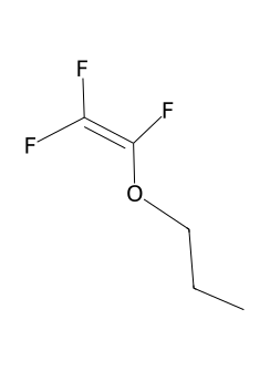 CCCOC(F)=C(F)F